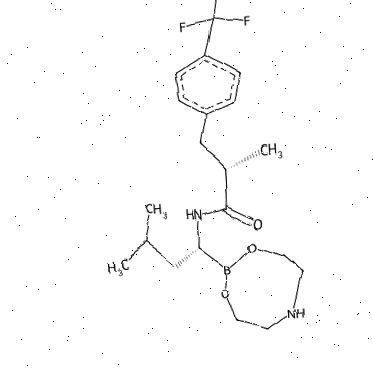 CC(C)C[C@H](NC(=O)[C@@H](C)Cc1ccc(C(F)(F)F)cc1)B1OCCNCCO1